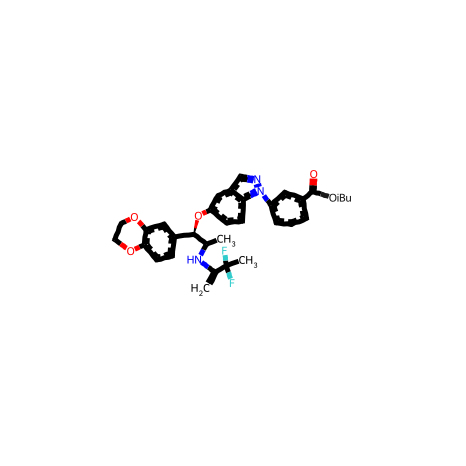 C=C(NC(C)[C@H](Oc1ccc2c(cnn2-c2cccc(C(=O)OCC(C)C)c2)c1)c1ccc2c(c1)OCCO2)C(C)(F)F